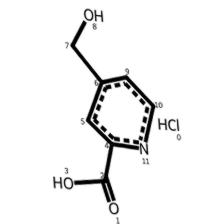 Cl.O=C(O)c1cc(CO)ccn1